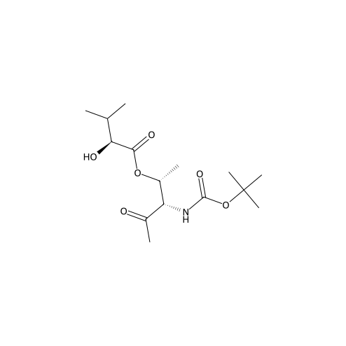 CC(=O)[C@@H](NC(=O)OC(C)(C)C)[C@@H](C)OC(=O)[C@@H](O)C(C)C